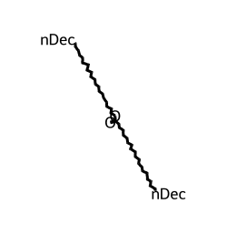 CCCCCCCCCCCCCCCCCCCCCCCCCCCCCCOC(=O)CCCCCCCCCCCCCCCCCCCCCCCCCCCCC